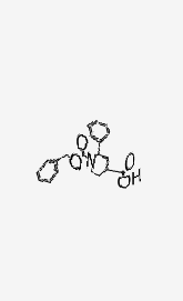 O=C(O)C1CCN(C(=O)OCc2ccccc2)C(c2ccccc2)C1